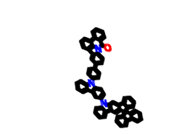 O=c1c2ccccc2c2cccc3c4cc(-c5ccc(-n6c7ccccc7c7cc(-n8c9ccccc9c9cc%10c(cc98)-c8ccccc8C%108c9ccccc9-c9ccccc98)ccc76)cc5)ccc4n1c23